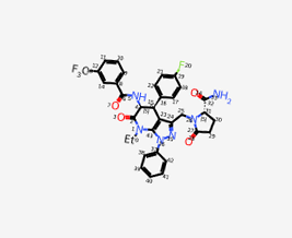 CCN1C(=O)[C@@H](NC(=O)c2cccc(C(F)(F)F)c2)[C@@H](c2ccc(F)cc2)c2c(CN3C(=O)CC[C@H]3C(N)=O)nn(-c3ccccc3)c21